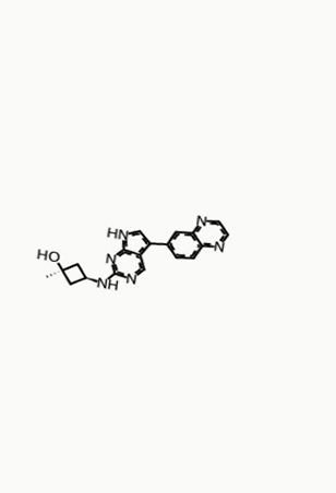 C[C@]1(O)C[C@@H](Nc2ncc3c(-c4ccc5nccnc5c4)c[nH]c3n2)C1